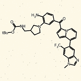 Cn1cnc2cc(-c3cccn4c(C(=O)c5ccc(N)c(N6CCC(CNC(=O)OC(C)(C)C)C6)c5)ccc34)c(C(F)(F)F)cc21